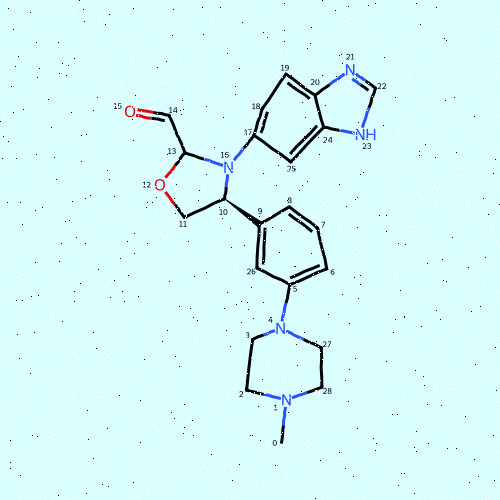 CN1CCN(c2cccc([C@H]3COC(C=O)N3c3ccc4nc[nH]c4c3)c2)CC1